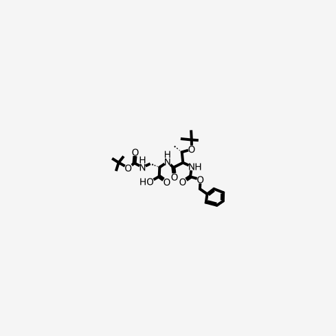 C[C@H](OC(C)(C)C)C(NC(=O)OCc1ccccc1)C(=O)N[C@@H](CNC(=O)OC(C)(C)C)C(=O)O